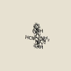 Cl.Nc1ncc(I)c2c1c(-c1ccc(C(=O)Nc3ccccn3)cc1F)nn2C1CCCNC1